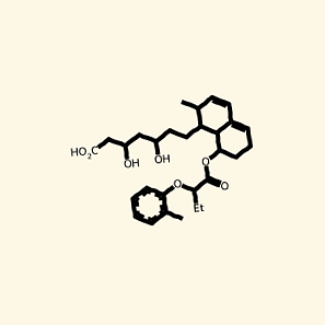 CCC(Oc1ccccc1C)C(=O)OC1CCC=C2C=CC(C)C(CCC(O)CC(O)CC(=O)O)C21